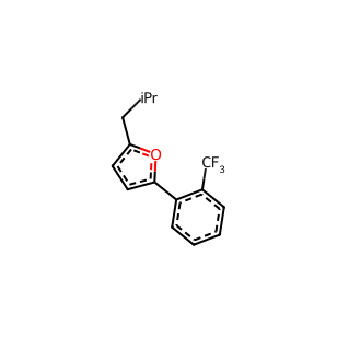 CC(C)Cc1ccc(-c2ccccc2C(F)(F)F)o1